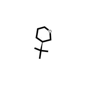 CC(C)(C)[C@H]1CCCOC1